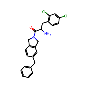 NC(Cc1ccc(Cl)cc1Cl)C(=O)N1Cc2ccc(Cc3ccccc3)cc2C1